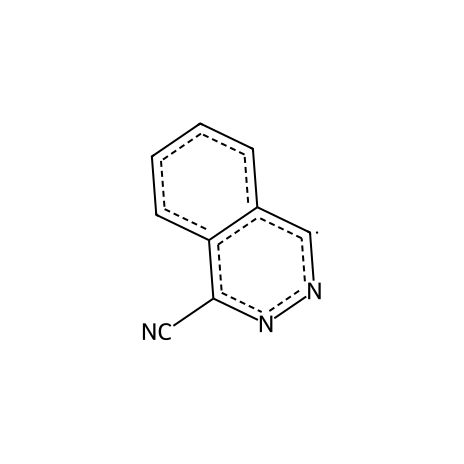 N#Cc1nn[c]c2ccccc12